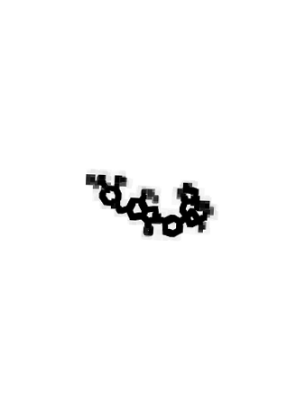 CC[C@H]1CN(Cc2cc3c(c(C(F)(F)F)c2)CN(c2cccc(C4(Cc5nncn5C)CC(F)(F)C4)c2)C3=O)CCN1C